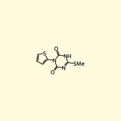 CSc1nc(=O)n(-c2cccs2)c(=O)[nH]1